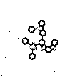 c1ccc(-c2nc(-c3ccccc3)nc(-c3cc(-c4ccc5c6ccccc6n(-c6ccccc6)c5c4)cc4c3sc3ccc5sc6ccccc6c5c34)n2)cc1